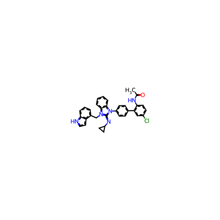 CC(=O)Nc1ccc(Cl)cc1-c1ccc(-n2/c(=N/C3CC3)n(Cc3cccc4[nH]ccc34)c3ccccc32)cc1